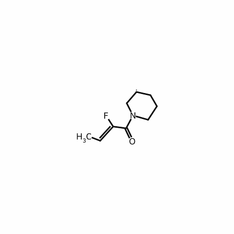 CC=C(F)C(=O)N1C[CH]CCC1